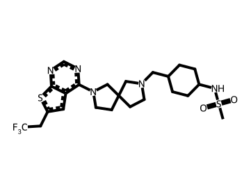 CS(=O)(=O)NC1CCC(CN2CCC3(CCN(c4ncnc5sc(CC(F)(F)F)cc45)C3)C2)CC1